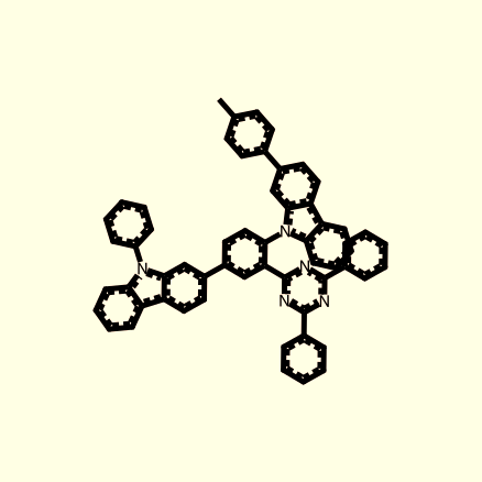 Cc1ccc(-c2ccc3c4ccccc4n(-c4ccc(-c5ccc6c7ccccc7n(-c7ccccc7)c6c5)cc4-c4nc(-c5ccccc5)nc(-c5ccccc5)n4)c3c2)cc1